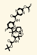 CC(C)(C)OC(=O)NC1=N[C@](C)(c2nc(NC(=O)c3cnc(OC(F)F)cn3)ccc2F)[C@H]2CCN=[S@@]2(=O)C1(C)C